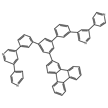 c1cc(-c2cncc(-c3ccncc3)c2)cc(-c2cc(-c3cccc(-c4cncc(-c5ccncc5)c4)c3)cc(-c3ccc4c5ccccc5c5ccccc5c4c3)c2)c1